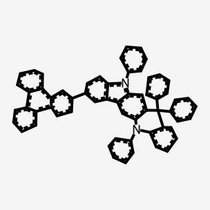 c1ccc(N2c3ccccc3C(c3ccccc3)(c3ccccc3)c3cc4c(cc32)c2cc(-c3ccc5c6ccccc6c6ccccc6c5c3)ccc2n4-c2ccccc2)cc1